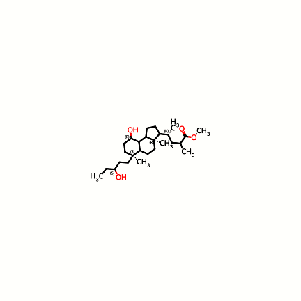 CC[C@H](O)CC[C@@]1(C)CC[C@@H](O)C2C1CC[C@@]1(C)C2CCC1[C@H](C)CC(C)C(=O)OC